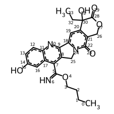 CCCCOC(=N)c1c2c(nc3ccc(O)cc13)-c1cc3c(c(=O)n1C2)COC(=O)C3(O)CC